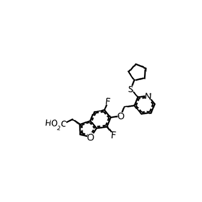 O=C(O)Cc1coc2c(F)c(OCc3cccnc3SC3CCCC3)c(F)cc12